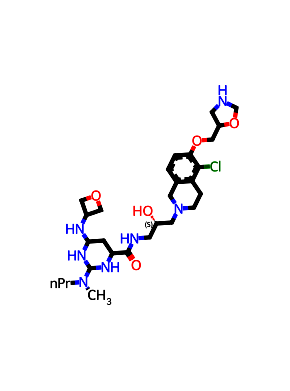 CCCN(C)C1NC(NC2COC2)CC(C(=O)NC[C@H](O)CN2CCc3c(ccc(OCC4CNCO4)c3Cl)C2)N1